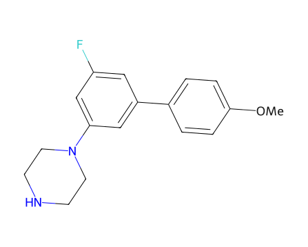 COc1ccc(-c2cc(F)cc(N3CCNCC3)c2)cc1